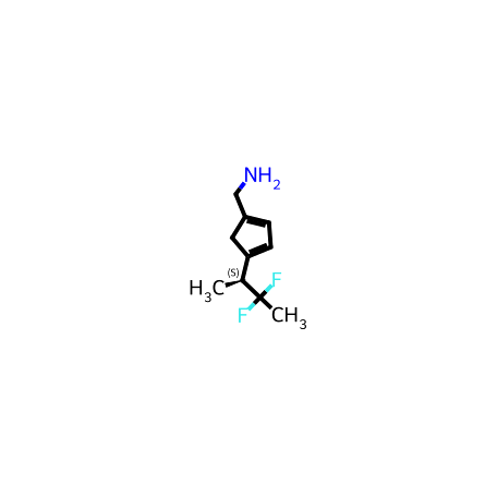 C[C@@H](C1=CC=C(CN)C1)C(C)(F)F